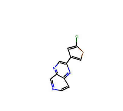 Clc1cc(-c2cnc3cnccc3n2)cs1